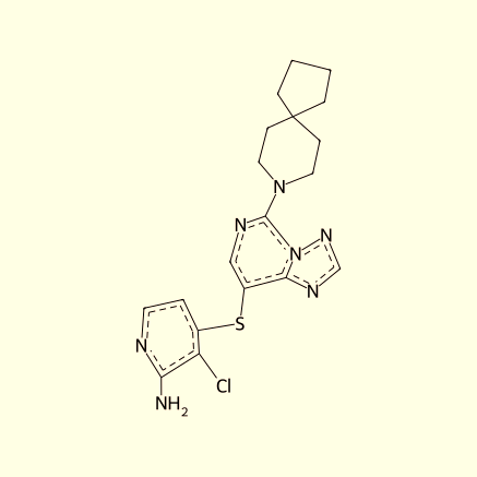 Nc1nccc(Sc2cnc(N3CCC4(CCCC4)CC3)n3ncnc23)c1Cl